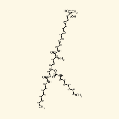 C=P(O)(O)CCOCCOCCOCCNC(=O)[C@@H](N)CSC[C@@H](COC(=O)NCCCCCCCC)OC(=O)NCCCCCCCC